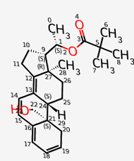 C[C@H](OC(=O)C(C)(C)C)[C@H]1CCC2=C3C=CC4=CC=CC[C@]4(CO)[C@H]3CC[C@@]21C